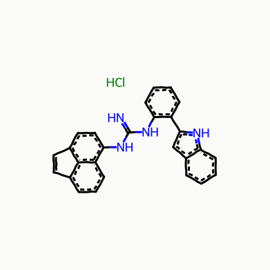 Cl.N=C(Nc1ccccc1-c1cc2ccccc2[nH]1)Nc1ccc2c3c(cccc13)C=C2